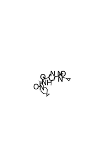 C[C@H](NC(=O)c1ccc(-c2noc(C3CC3)n2)nc1)C(=O)N1CCC2(CC1)CC2